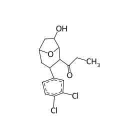 CCC(=O)C1C(c2ccc(Cl)c(Cl)c2)CC2CC(O)C1O2